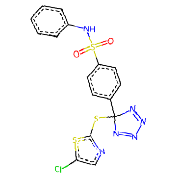 O=S(=O)(Nc1ccccc1)c1ccc(C2(Sc3ncc(Cl)s3)N=NN=N2)cc1